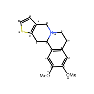 COc1cc2c(cc1OC)C1Cc3sccc3CN1CC2